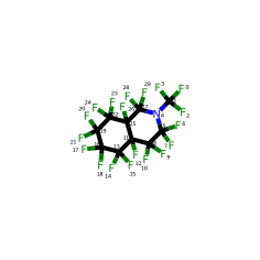 FC(F)(F)N1C(F)(F)C(F)(F)C2(F)C(F)(F)C(F)(F)C(F)(F)C(F)(F)C2(F)C1(F)F